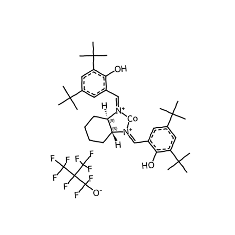 CC(C)(C)c1cc(C=[N+]2[Co][N+](=Cc3cc(C(C)(C)C)cc(C(C)(C)C)c3O)[C@@H]3CCCC[C@H]32)c(O)c(C(C)(C)C)c1.[O-]C(F)(F)C(F)(C(F)(F)F)C(F)(F)F